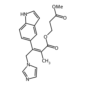 COC(=O)CCOC(=O)C(C)=C(Cn1ccnc1)c1ccc2[nH]ccc2c1